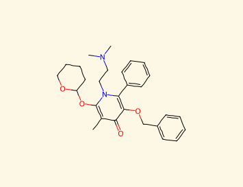 Cc1c(OC2CCCCO2)n(CCN(C)C)c(-c2ccccc2)c(OCc2ccccc2)c1=O